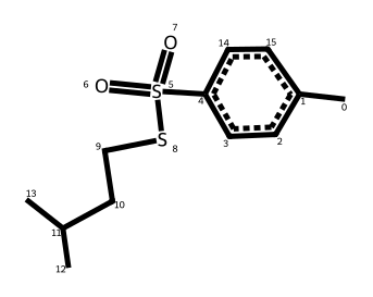 Cc1ccc(S(=O)(=O)SCCC(C)C)cc1